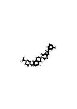 CC(=O)N1CCN(Cc2ccc3c(c2)CCC(n2cnc4cc(-c5cc(F)cc(F)c5)sc4c2=O)C3)CC1